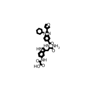 NC(=O)C(Cc1c[nH]c2ccc(NC(=O)C(=O)O)cc12)NC(=O)c1ccc2c(c1)nc(-c1ccoc1)n2C1CCCCC1